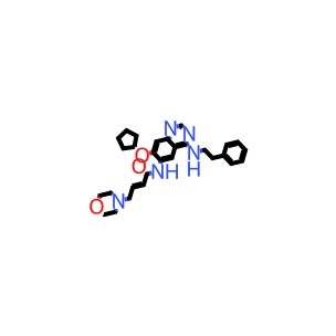 O=C(C=CCN1CCOCC1)Nc1cc2c(NCCc3ccccc3)ncnc2cc1OC1CCCC1